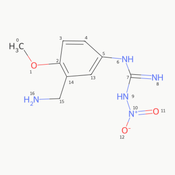 COc1ccc(NC(=N)N[N+](=O)[O-])cc1CN